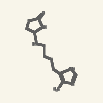 Cc1nc[nH]c1CSCCNC1CSC(=O)N1